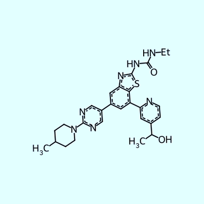 CCNC(=O)Nc1nc2cc(-c3cnc(N4CCC(C)CC4)nc3)cc(-c3cc(C(C)O)ccn3)c2s1